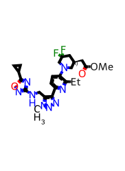 CCc1nc(-c2nnn(C)c2CNc2noc(C3CC3)n2)ccc1N1C[C@H](CC(=O)OC)CC(F)(F)C1